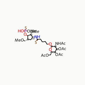 COC[C@H]1C[C@H](NC(=S)CCCCO[C@@H]2O[C@H](COC(C)=O)[C@H](OC(C)=O)[C@H](OC(C)=O)[C@H]2NC(C)=O)[C@@H](OC)C1OP(O)(=S)OC